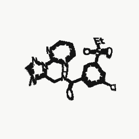 CCS(=O)(=O)c1cc(Cl)cc(C(=O)NCc2ncnn2-c2ncccn2)c1